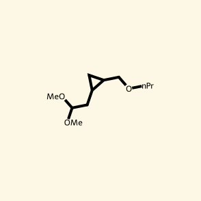 CCCOCC1CC1CC(OC)OC